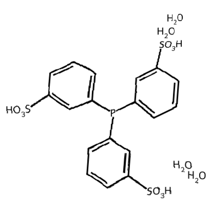 O.O.O.O.O=S(=O)(O)c1cccc(P(c2cccc(S(=O)(=O)O)c2)c2cccc(S(=O)(=O)O)c2)c1